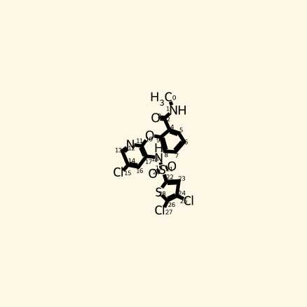 CNC(=O)c1ccccc1Oc1ncc(Cl)cc1NS(=O)(=O)c1cc(Cl)c(Cl)s1